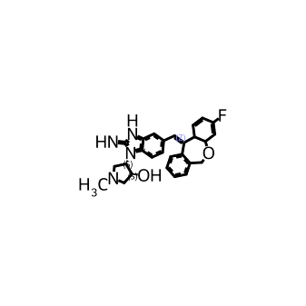 CN1C[C@H](O)[C@@H](n2c(=N)[nH]c3cc(/C=C4\c5ccccc5COC5C=C(F)C=CC45)ccc32)C1